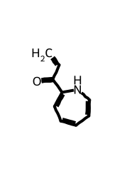 C=CC(=O)C1=CC=CC=CN1